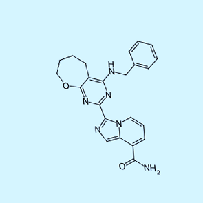 NC(=O)c1cccn2c(-c3nc(NCc4ccccc4)c4c(n3)OCCCC4)ncc12